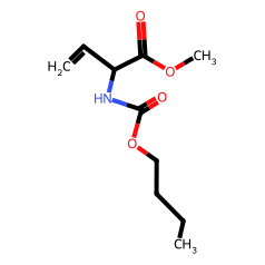 C=CC(NC(=O)OCCCC)C(=O)OC